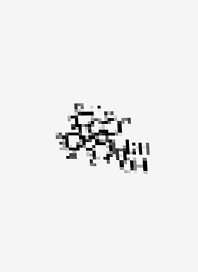 OB(O)c1ccc2c([siH]1)C(c1ccccc1)(c1ccccc1)c1ccccc1-2